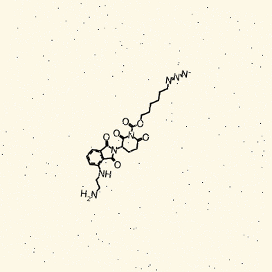 [N-]=[N+]=NCCCCCCOC(=O)N1C(=O)CCC(N2C(=O)c3cccc(NCCN)c3C2=O)C1=O